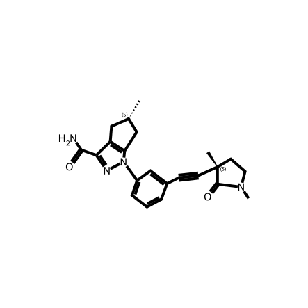 C[C@H]1Cc2c(C(N)=O)nn(-c3cccc(C#C[C@]4(C)CCN(C)C4=O)c3)c2C1